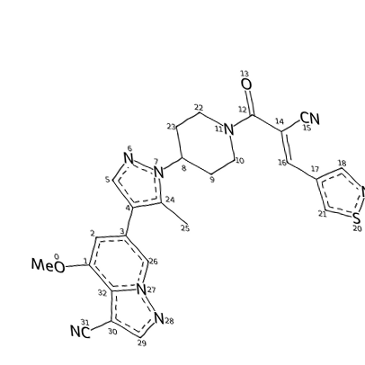 COc1cc(-c2cnn(C3CCN(C(=O)C(C#N)=Cc4cnsc4)CC3)c2C)cn2ncc(C#N)c12